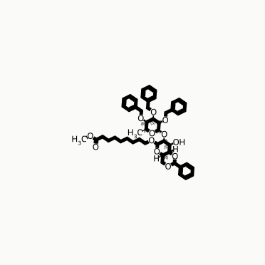 COC(=O)CCCCCCCCOC1O[C@@H]2COC(c3ccccc3)O[C@H]2[C@H](O)[C@H]1O[C@H]1O[C@H](C)[C@@H](OCc2ccccc2)[C@H](OCc2ccccc2)[C@H]1OCc1ccccc1